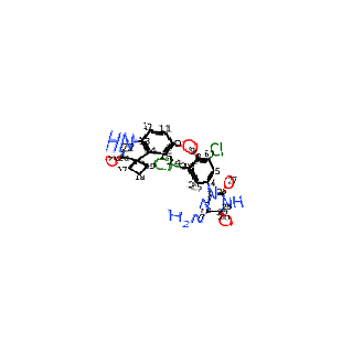 Nc1nn(-c2cc(Cl)c(Oc3ccc4c(c3)C3(CCC3)C(=O)N4)c(Cl)c2)c(=O)[nH]c1=O